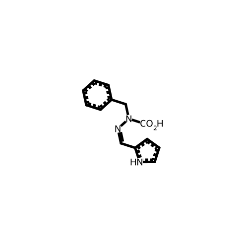 O=C(O)N(Cc1ccccc1)/N=C\c1ccc[nH]1